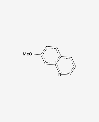 COc1[c]c2ncccc2cc1